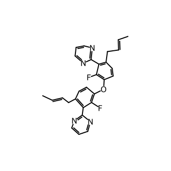 C/C=C/Cc1ccc(Oc2ccc(C/C=C/C)c(-c3ncccn3)c2F)c(F)c1-c1ncccn1